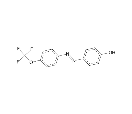 Oc1ccc(/N=N/c2ccc(OC(F)(F)F)cc2)cc1